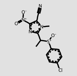 CC(c1nc([N+](=O)[O-])c(C#N)n1C)[S+]([O-])c1ccc(Cl)cc1